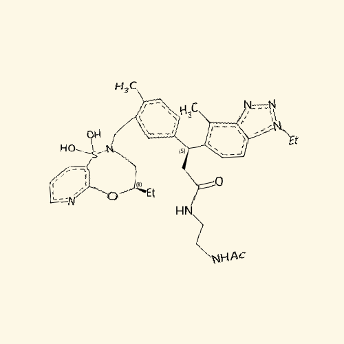 CC[C@@H]1CN(Cc2cc([C@H](CC(=O)NCCNC(C)=O)c3ccc4c(nnn4CC)c3C)ccc2C)S(O)(O)c2cccnc2O1